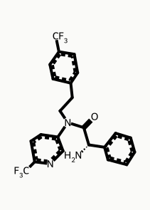 N[C@H](C(=O)N(CCc1ccc(C(F)(F)F)cc1)c1ccc(C(F)(F)F)nc1)c1ccccc1